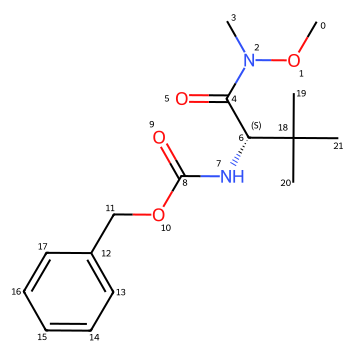 CON(C)C(=O)[C@@H](NC(=O)OCc1ccccc1)C(C)(C)C